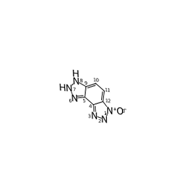 [O-][n+]1nnc2c3n[nH][nH]c3ccc21